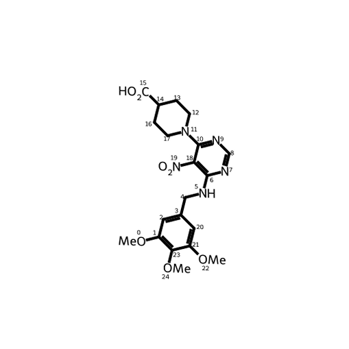 COc1cc(CNc2ncnc(N3CCC(C(=O)O)CC3)c2[N+](=O)[O-])cc(OC)c1OC